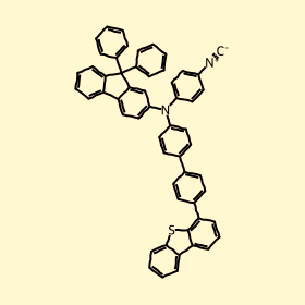 [C-]#[N+]c1ccc(N(c2ccc(-c3ccc(-c4cccc5c4sc4ccccc45)cc3)cc2)c2ccc3c(c2)C(c2ccccc2)(c2ccccc2)c2ccccc2-3)cc1